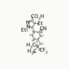 CCc1c(C(=O)O)nn(CC)c1-c1ccc(CC(C)(C)C(F)(F)F)cc1C#N